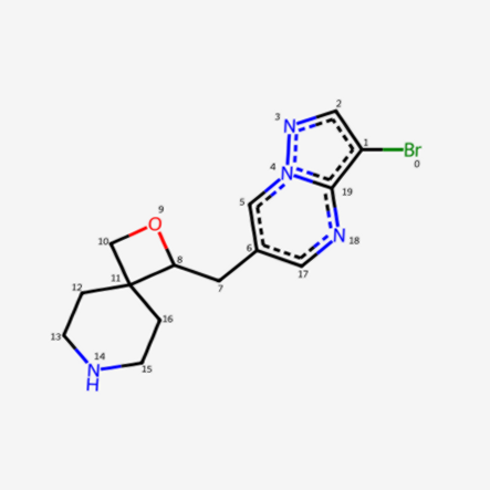 Brc1cnn2cc(CC3OCC34CCNCC4)cnc12